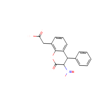 O=C(O)Cc1cccc2c1OC(=O)C([N+](=O)[O-])C2c1ccccc1